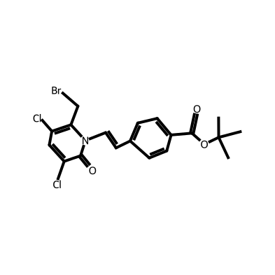 CC(C)(C)OC(=O)c1ccc(/C=C/n2c(CBr)c(Cl)cc(Cl)c2=O)cc1